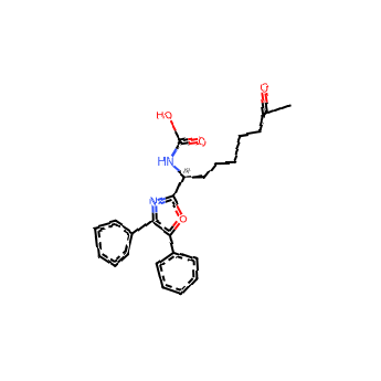 CC(=O)CCCCC[C@H](NC(=O)O)c1nc(-c2ccccc2)c(-c2ccccc2)o1